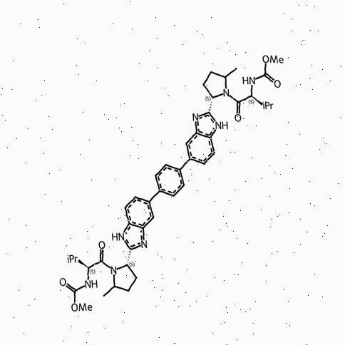 COC(=O)N[C@H](C(=O)N1C(C)CC[C@H]1c1nc2cc(-c3ccc(-c4ccc5[nH]c([C@@H]6CCC(C)N6C(=O)[C@@H](NC(=O)OC)C(C)C)nc5c4)cc3)ccc2[nH]1)C(C)C